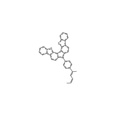 C/C=C\C=C(/C)c1ccc(-n2c3ccc4c5ccccc5sc4c3c3c4sc5ccccc5c4ccc32)cc1